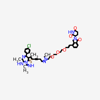 C=CN(CCOCCOCCOCC=Cc1cccc2c1CN(C1CCC(=O)NC1=O)C2=O)/N=C\CC#Cc1sc2c(c1C)C(c1ccc(Cl)cc1)=N[C@@H](C)C(=N)N2C(C)=N